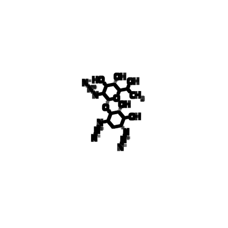 CC(O)C1O[C@H](O[C@@H]2C(N=[N+]=[N-])C[C@@H](N=[N+]=[N-])C(O)[C@H]2O)C(N=[N+]=[N-])[C@@H](O)[C@@H]1O